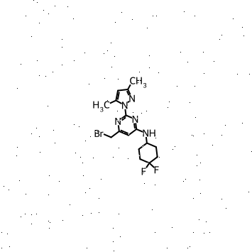 Cc1cc(C)n(-c2nc(CBr)cc(NC3CCC(F)(F)CC3)n2)n1